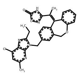 CCc1nc2c(Cl)cc(C)nc2n1Cc1ccc2c(c1)COc1ccccc1C2=C(C)c1noc(=O)[nH]1